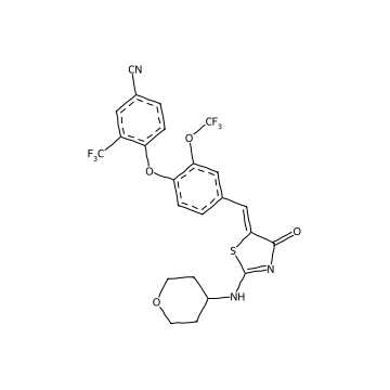 N#Cc1ccc(Oc2ccc(/C=C3\SC(NC4CCOCC4)=NC3=O)cc2OC(F)(F)F)c(C(F)(F)F)c1